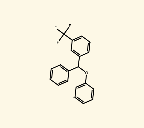 FC(F)(F)c1cccc(C(Oc2c[c]ccc2)c2ccccc2)c1